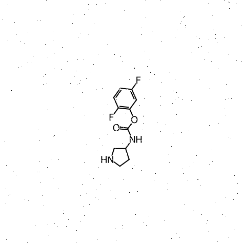 O=C(NC1CCNC1)Oc1cc(F)ccc1F